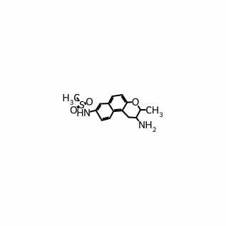 CC1Oc2ccc3cc(NS(C)(=O)=O)ccc3c2CC1N